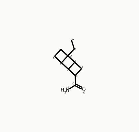 CCC12C3C4C1C1C2C3C41C(N)=O